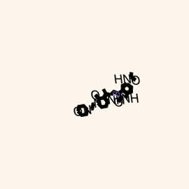 CC(=O)Nc1ccc2c(c1)/C(=C/c1[nH]c3c(c1C)C(=O)N(CCN1CCOCC1)CC3)C(=O)N2